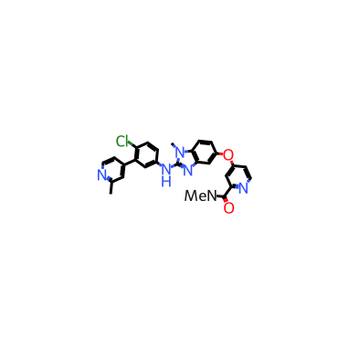 CNC(=O)c1cc(Oc2ccc3c(c2)nc(Nc2ccc(Cl)c(-c4ccnc(C)c4)c2)n3C)ccn1